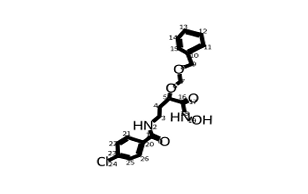 O=C(NCCC(OCOCc1ccccc1)C(=O)NO)c1ccc(Cl)cc1